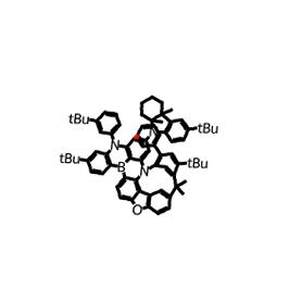 CC(C)(C)c1cccc(N2c3cc(C(C)(C)C)ccc3B3c4ccc5oc6ccc7cc6c5c4N(c4cc(c(C(C)(C)C)cc4-c4ccccc4)C7(C)C)c4cc(N5c6ccc(C(C)(C)C)cc6C6(C)CCCCC56C)cc2c43)c1